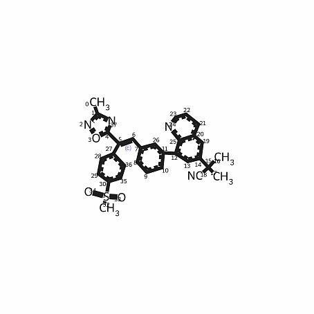 Cc1noc(/C(=C/c2cccc(-c3cc(C(C)(C)C#N)cc4cccnc34)c2)c2ccc(S(C)(=O)=O)cc2)n1